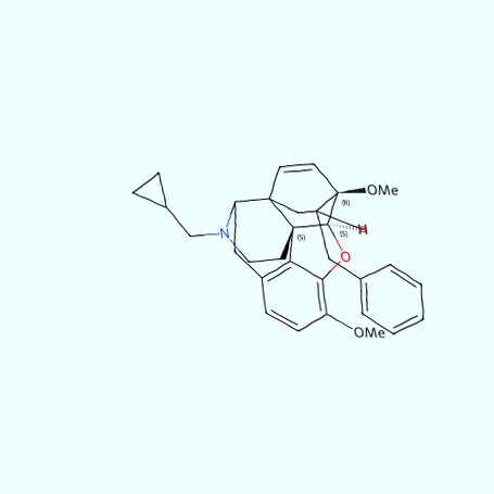 COc1ccc2c3c1O[C@@H]1[C@@]4(OC)C=CC5(CC4(C)Cc4ccccc4)C(C2)N(CC2CC2)CC[C@]315